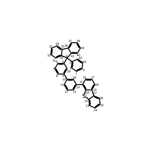 c1ccc(C2(c3cccc(-c4cccc(-c5cccc6c5sc5ccccc56)c4)c3)c3ccccc3-c3ccccc32)cc1